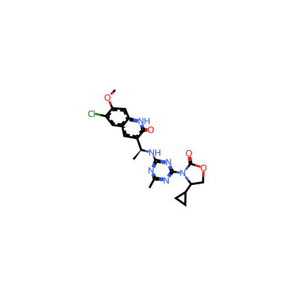 COc1cc2[nH]c(=O)c([C@H](C)Nc3nc(C)nc(N4C(=O)OCC4C4CC4)n3)cc2cc1Cl